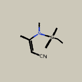 CC(=CC#N)N(C)[Si](C)(C)C